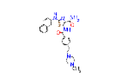 CN1CCN(CCc2ccc(C(=O)Nc3sc(Nc4ccc5ccccc5c4)nc3C(N)=O)cc2)CC1